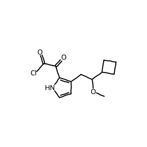 COC(Cc1cc[nH]c1C(=O)C(=O)Cl)C1CCC1